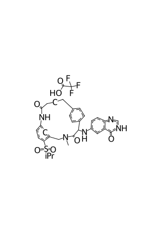 CC(C)S(=O)(=O)c1ccc2cc1CN(C)C(=O)C(Nc1ccc3nc[nH]c(=O)c3c1)c1ccc(cc1)CCCC(=O)N2.O=C(O)C(F)(F)F